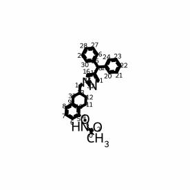 CC(=O)NOc1cccc2c1CCC(Cn1cc(C(c3ccccc3)c3ccccc3)cn1)C2